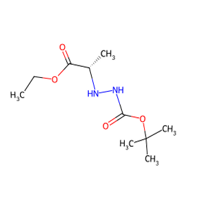 CCOC(=O)[C@H](C)NNC(=O)OC(C)(C)C